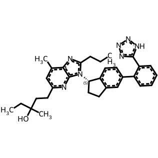 CCCc1nc2c(C)cc(CCC(C)(O)CC)nc2n1[C@H]1CCc2cc(-c3ccccc3-c3nnn[nH]3)ccc21